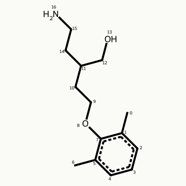 Cc1cccc(C)c1OCCC(CO)CCN